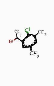 FC(F)(F)c1cc(C(Br)C(F)(F)F)c(Cl)c(C(F)(F)F)c1